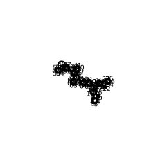 CC1(C)c2ccccc2-c2ccc(N(c3ccc4c(c3)C(C)(C)c3ccccc3-4)c3ccc4cc(-c5cc6c7ccccc7c(-c7ccc8oc9ccccc9c8c7)cc6c6ccccc56)ccc4c3)cc21